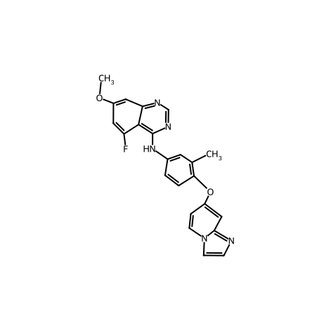 COc1cc(F)c2c(Nc3ccc(Oc4ccn5ccnc5c4)c(C)c3)ncnc2c1